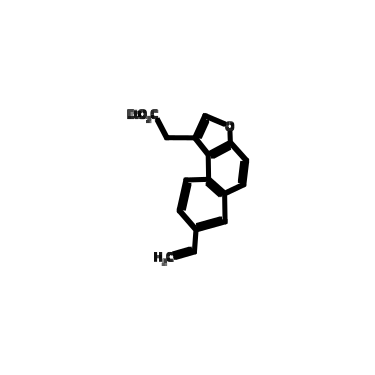 C=Cc1ccc2c(ccc3occ(CC(=O)OCC)c32)c1